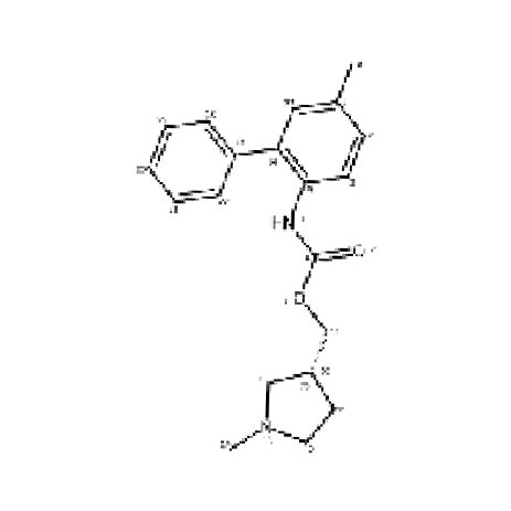 Cc1ccc(NC(=O)OC[C@@H]2CCN(C)C2)c(-c2ccccc2)c1